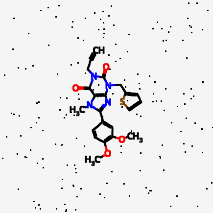 C#CCn1c(=O)c2c(nc(-c3ccc(OC)c(OC)c3)n2C)n(Cc2cccs2)c1=O